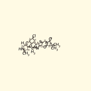 Cc1cc(Cl)cc(-c2c3sc(CN4C(=O)C5C(C4=O)C5(C)C)cc3nn2C)c1OC1CCNC(C)C1